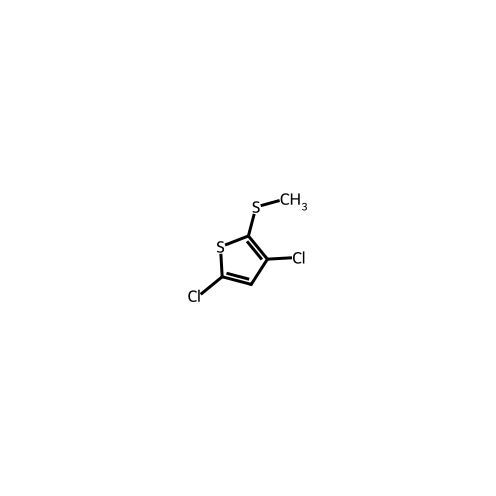 CSc1sc(Cl)cc1Cl